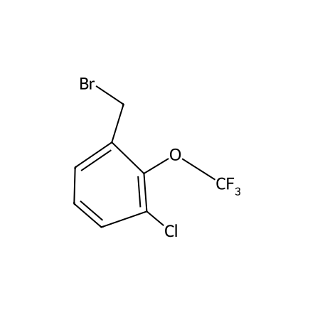 FC(F)(F)Oc1c(Cl)cccc1CBr